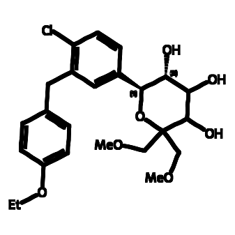 CCOc1ccc(Cc2cc([C@@H]3OC(COC)(COC)C(O)C(O)[C@H]3O)ccc2Cl)cc1